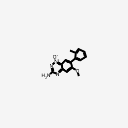 COc1cc2nc(N)n[n+]([O-])c2cc1-c1ccccc1C